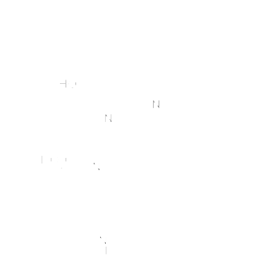 Cc1ccc2c(N(C(=O)O)C3CCNC3)nc(-c3ccccc3O)nc2c1